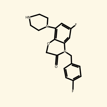 O=C1COc2c(N3CCNCC3)cc(F)cc2N1Cc1ccc(F)cc1